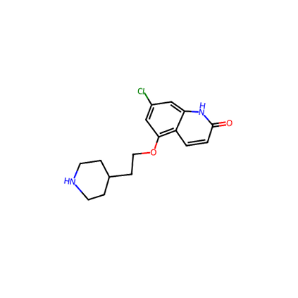 O=c1ccc2c(OCCC3CCNCC3)cc(Cl)cc2[nH]1